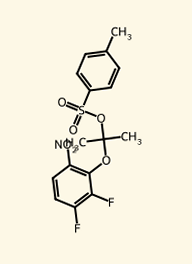 Cc1ccc(S(=O)(=O)OC(C)(C)Oc2c([N+](=O)[O-])ccc(F)c2F)cc1